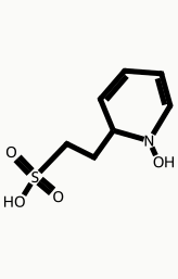 O=S(=O)(O)CCC1C=CC=CN1O